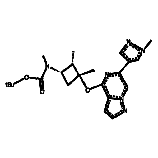 C[C@H]1[C@@H](N(C)C(=O)OC(C)(C)C)C[C@@]1(C)Oc1nc(-c2cnn(C)c2)cn2nccc12